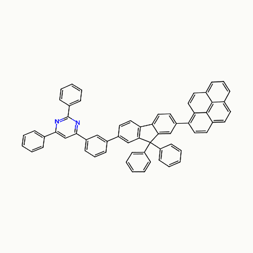 c1ccc(-c2cc(-c3cccc(-c4ccc5c(c4)C(c4ccccc4)(c4ccccc4)c4cc(-c6ccc7ccc8cccc9ccc6c7c89)ccc4-5)c3)nc(-c3ccccc3)n2)cc1